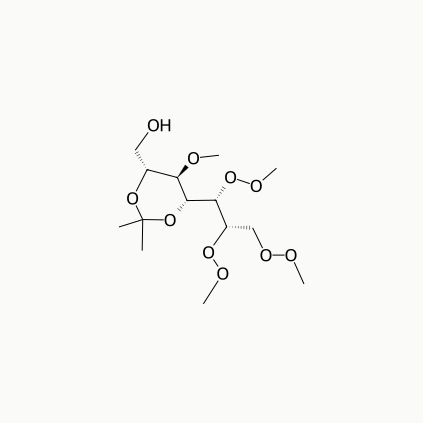 COOC[C@H](OOC)[C@@H](OOC)[C@@H]1OC(C)(C)O[C@H](CO)[C@H]1OC